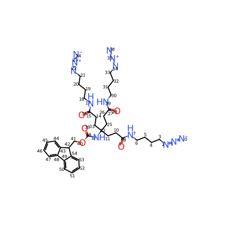 [N-]=[N+]=NCCCCNC(=O)CCC(CCC(=O)NCCCCN=[N+]=[N-])(CCC(=O)NCCCCN=[N+]=[N-])NC(=O)OCC1c2ccccc2-c2ccccc21